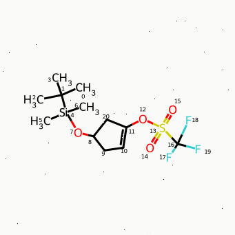 CC(C)(C)[Si](C)(C)OC1CC=C(OS(=O)(=O)C(F)(F)F)C1